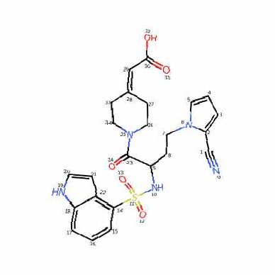 N#Cc1cccn1CCC(NS(=O)(=O)c1cccc2[nH]ccc12)C(=O)N1CCC(=CC(=O)O)CC1